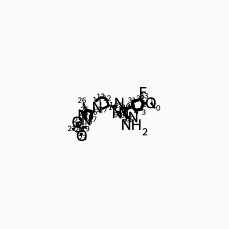 COc1cc2nc(N)n3nc([C@@H]4CCCN(c5cn(CS(C)(=O)=O)nc5C)C4)nc3c2cc1F